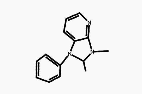 CC1N(C)c2ncccc2N1c1ccccc1